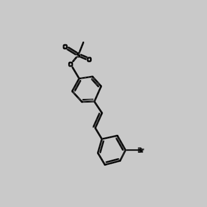 CS(=O)(=O)Oc1ccc(C=Cc2cccc(Br)c2)cc1